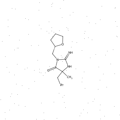 CC(C)CC1(C)NC(=N)N(CC2CCCO2)C1=O